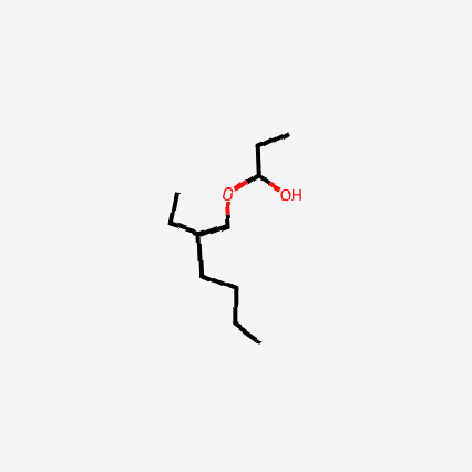 CCCCC(CC)COC(O)CC